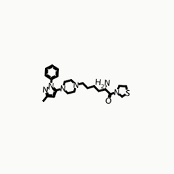 Cc1cc(N2CCN(CCCC[C@H](N)C(=O)N3CCSC3)CC2)n(-c2ccccc2)n1